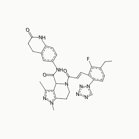 CCc1ccc(-n2cnnn2)c(/C=C/C(=O)N2CCc3c(c(C)nn3C)C2C(=O)Nc2ccc3c(c2)CCC(=O)N3)c1F